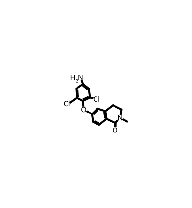 CN1CCc2cc(Oc3c(Cl)cc(N)cc3Cl)ccc2C1=O